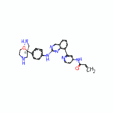 C=CC(=O)Nc1ccnc(-c2cccc3cnc(Nc4ccc([C@]5(CN)CNCCO5)cc4)nc23)c1